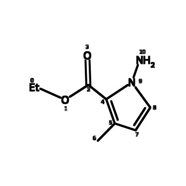 CCOC(=O)c1c(C)ccn1N